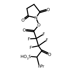 CCCC(C(=O)C(F)(F)C(F)(F)C(=O)ON1C(=O)CCC1=O)S(=O)(=O)O